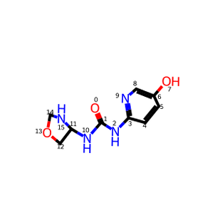 O=C(Nc1ccc(O)cn1)NC1COCN1